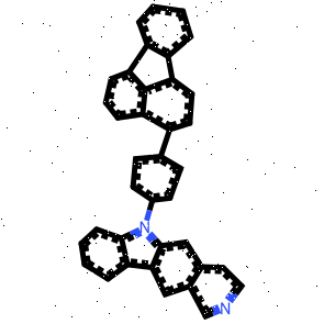 c1ccc2c(c1)-c1cccc3c(-c4ccc(-n5c6ccccc6c6cc7cnccc7cc65)cc4)ccc-2c13